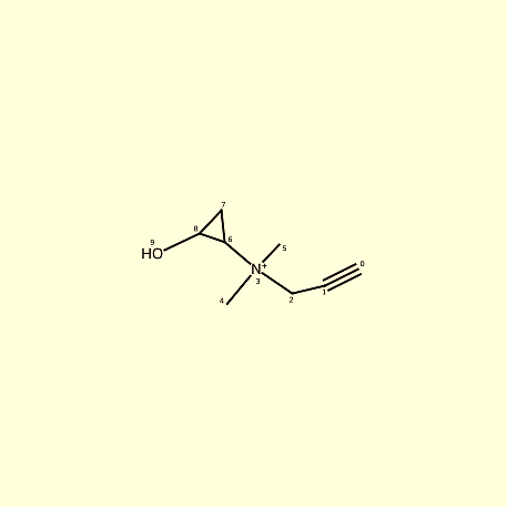 C#CC[N+](C)(C)C1CC1O